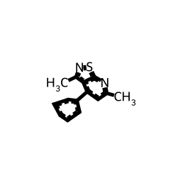 Cc1cc(-c2ccccc2)c2c(C)nsc2n1